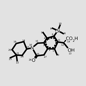 Cc1c2c(c(C)c([Si](C)(C)C)c1[C@H](O)C(=O)O)CN(C1CCCC(C)(C)C1)C(=O)C2